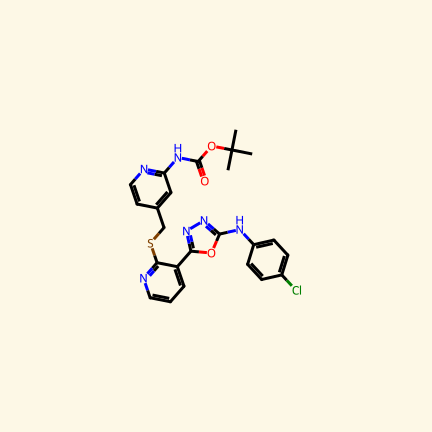 CC(C)(C)OC(=O)Nc1cc(CSc2ncccc2-c2nnc(Nc3ccc(Cl)cc3)o2)ccn1